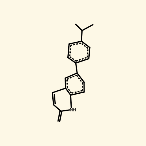 C=C1C=Cc2cc(-c3ccc(C(C)C)cc3)ccc2N1